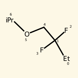 CCC(F)(F)COC(C)C